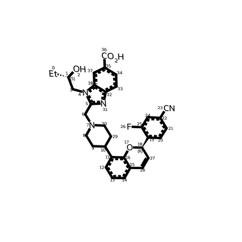 CC[C@H](O)Cn1c(CN2CCC(c3cccc4c3O[C@@H](c3ccc(C#N)cc3F)C=C4)CC2)nc2ccc(C(=O)O)cc21